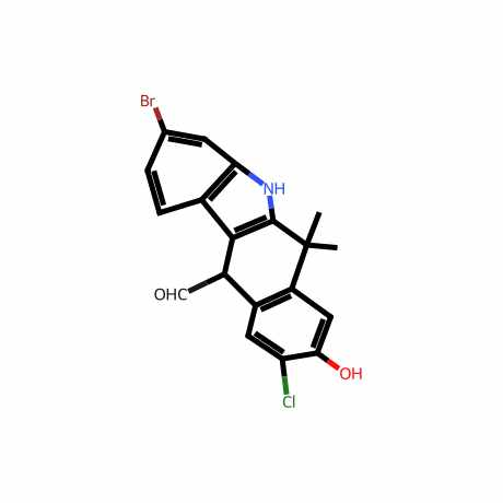 CC1(C)c2cc(O)c(Cl)cc2C(C=O)c2c1[nH]c1cc(Br)ccc21